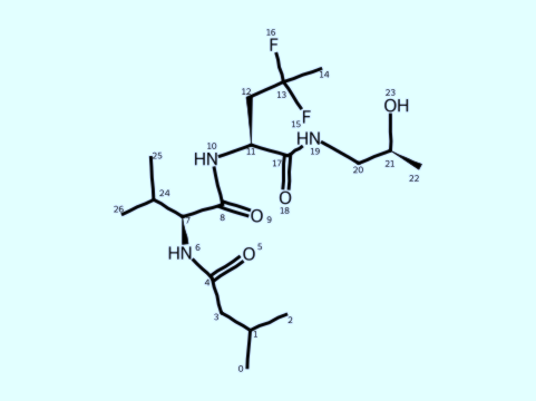 CC(C)CC(=O)N[C@H](C(=O)N[C@@H](CC(C)(F)F)C(=O)NC[C@H](C)O)C(C)C